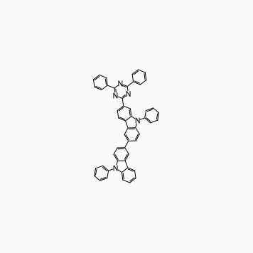 c1ccc(-c2nc(-c3ccccc3)nc(-c3ccc4c5cc(-c6ccc7c(c6)c6ccccc6n7-c6ccccc6)ccc5n(-c5ccccc5)c4c3)n2)cc1